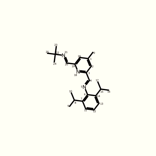 Cc1cc(C=Nc2c(C(C)C)cccc2C(C)C)nc(C=NC(C)(C)C)c1